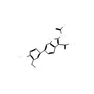 COc1ccc(-c2ccc3c(C(N)=O)c(NC(N)=O)[nH]c3c2)cc1CO